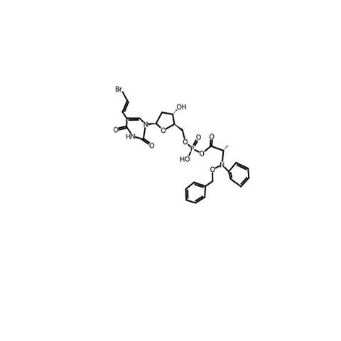 C[C@@H](C(=O)OP(=O)(O)OC[C@H]1O[C@@H](n2cc(/C=C/Br)c(=O)[nH]c2=O)C[C@@H]1O)N(OCc1ccccc1)c1ccccc1